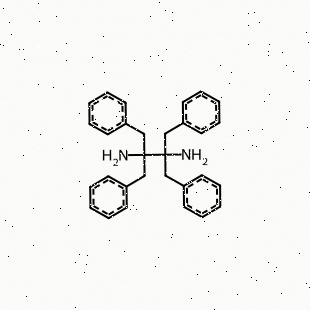 NC(Cc1ccccc1)(Cc1ccccc1)C(N)(Cc1ccccc1)Cc1ccccc1